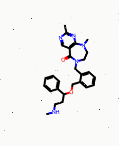 CNCCC(OCc1ccccc1CN1CCN(C)c2nc(C)ncc2C1=O)c1ccccc1